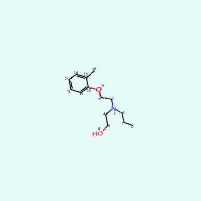 CCCN(CCO)CCOc1ccccc1C